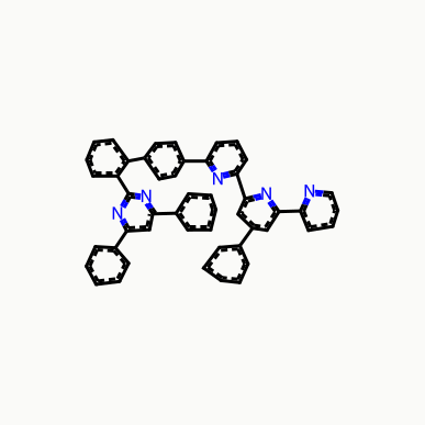 c1ccc(-c2cc(-c3ccccn3)nc(-c3cccc(-c4ccc(-c5ccccc5-c5nc(-c6ccccc6)cc(-c6ccccc6)n5)cc4)n3)c2)cc1